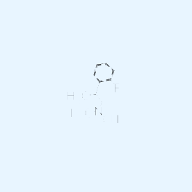 CC(CN(C)C)c1ccccc1F